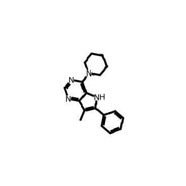 Cc1c(-c2ccccc2)[nH]c2c(N3CCCCC3)ncnc12